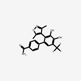 Cc1noc(C)c1-c1c(-c2ccc(C(N)=O)cc2)cc(C(F)(F)F)c(O)c1O